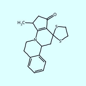 CC1CC(=O)C2=C1N1CCc3ccccc3C1CC21SCCS1